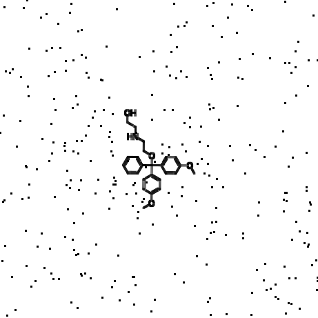 COc1ccc(C(OCCNCCO)(c2ccccc2)c2ccc(OC)cc2)cc1